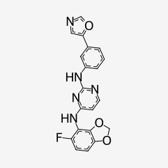 Fc1ccc2c(c1Nc1ccnc(Nc3cccc(-c4cnco4)c3)n1)OCO2